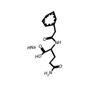 NC(=O)CCC(NC(=O)Cc1ccccc1)C(=O)O.[NaH]